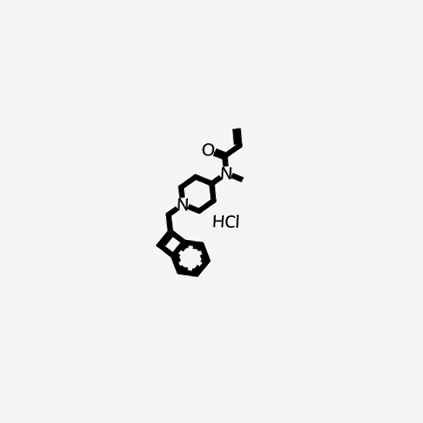 C=CC(=O)N(C)C1CCN(CC2=Cc3ccccc32)CC1.Cl